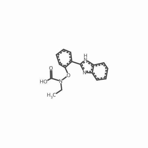 CCN(Oc1ccccc1-c1nc2ccccc2[nH]1)C(=O)O